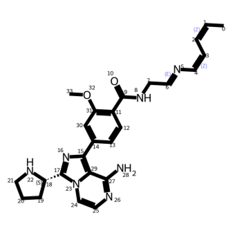 C\C=C/C=C\N=C\CNC(=O)c1ccc(-c2nc([C@@H]3CCCN3)n3ccnc(N)c23)cc1OC